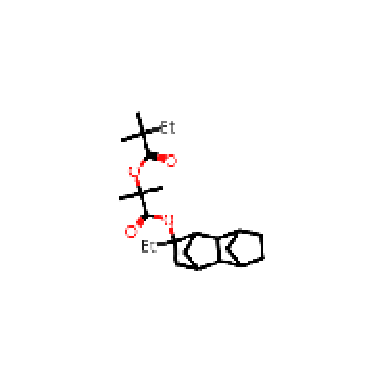 CCC(C)(C)C(=O)OC(C)(C)C(=O)OC1(CC)CC2CC1C1C3CCC(C3)C21